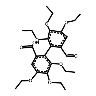 CCOc1cc(C=O)c(-c2c(C(=O)O)cc(OCC)c(OCC)c2OCC)c(OCC)c1OCC